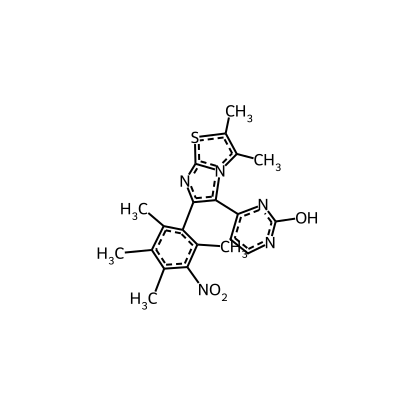 Cc1sc2nc(-c3c(C)c(C)c(C)c([N+](=O)[O-])c3C)c(-c3ccnc(O)n3)n2c1C